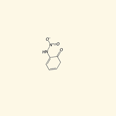 O=C1CC=CC=C1N[N+](=O)[O-]